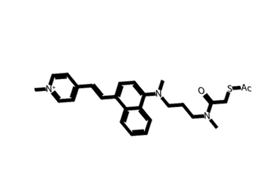 CC(=O)SCC(=O)N(C)CCCN(C)c1ccc(/C=C/c2cc[n+](C)cc2)c2ccccc12